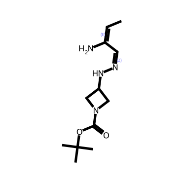 C/C=C(N)\C=N/NC1CN(C(=O)OC(C)(C)C)C1